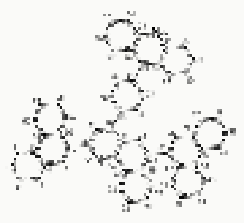 c1ccc2c(c1)cc(-c1cc(-c3ccc(-c4c5ccccc5nc5ccccc45)cc3)c3cc(-c4cc5ccccc5c5ccccc45)c4ccccc4c3n1)c1ccccc12